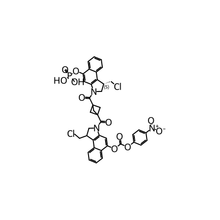 O=C(Oc1ccc([N+](=O)[O-])cc1)Oc1cc2c(c3ccccc13)C(CCl)CN2C(=O)C12CC(C(=O)N3C[C@@H](CCl)c4c3cc(OP(=O)(O)O)c3ccccc43)(C1)C2